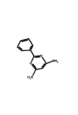 Nc1cc(N)nc(-c2ccccc2)n1